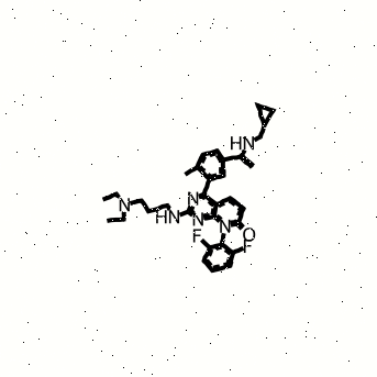 C=C(NCC1CC1)c1ccc(C)c(-c2nc(NCCCN(CC)CC)nc3c2ccc(=O)n3-c2c(F)cccc2F)c1